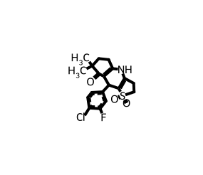 CC1(C)CCC2=C(C1=O)C(c1ccc(Cl)c(F)c1)C1=C(CCS1(=O)=O)N2